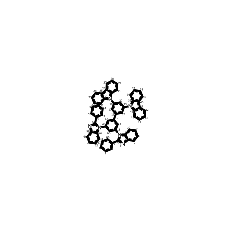 c1ccc(-c2nc3ccccc3n2-c2cc(-c3cc(-n4c5ccccc5c5ccccc54)cc(-n4c5ccccc5c5ccccc54)c3)cc(-n3c(-c4ccccc4)nc4ccccc43)c2)cc1